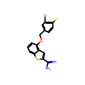 N=C(N)c1cc2c(OCc3ccc(F)c(Cl)c3)cccc2s1